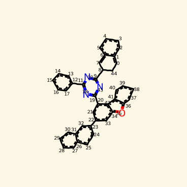 C1=c2ccccc2=CC(c2nc(-c3ccccc3)nc(-c3cc(-c4ccc5ccccc5c4)cc4oc5ccccc5c34)n2)C1